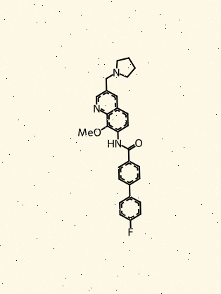 COc1c(NC(=O)c2ccc(-c3ccc(F)cc3)cc2)ccc2cc(CN3CCCC3)cnc12